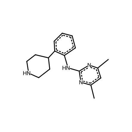 Cc1cc(C)nc(Nc2ccccc2C2CCNCC2)n1